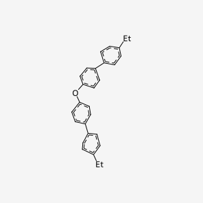 CCc1ccc(-c2ccc(Oc3ccc(-c4ccc(CC)cc4)cc3)cc2)cc1